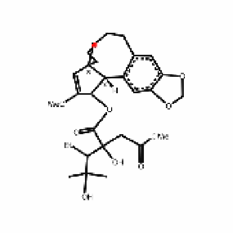 CCC(C(C)(C)O)C(O)(CC(=O)OC)C(=O)OC1C(OC)=C[C@]23CCCN2CCc2cc4c(cc2[C@H]13)OCO4